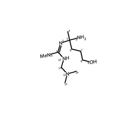 CN/C(=N/C(C)(N)CCCO)NCN(C)C